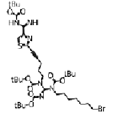 CC(C)(C)OC(=O)/N=C(\N(CCCC#Cc1nc(C(=N)NC(=O)OC(C)(C)C)cs1)C(=O)OC(C)(C)C)N(CCCCCCCBr)C(=O)OC(C)(C)C